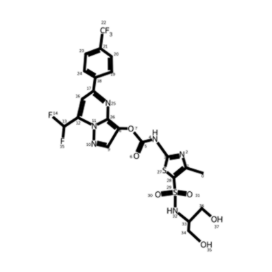 Cc1nc(NC(=O)Oc2cnn3c(C(F)F)cc(-c4ccc(C(F)(F)F)cc4)nc23)sc1S(=O)(=O)NC(CO)CO